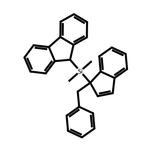 C[Si](C)(C1c2ccccc2-c2ccccc21)C1(Cc2ccccc2)C=Cc2ccccc21